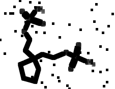 CS(=O)(=O)OCCC1(CCOS(C)(=O)=O)CCCC1